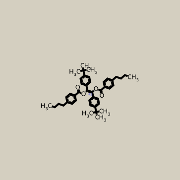 CCCCc1ccc(C(=O)O/C(=C(/OC(=O)c2ccc(CCCC)cc2)c2ccc(C(C)(C)C)cc2)c2ccc(C(C)(C)C)cc2)cc1